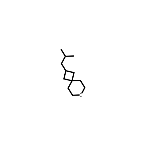 CC(C)CC1CC2(CCOCC2)C1